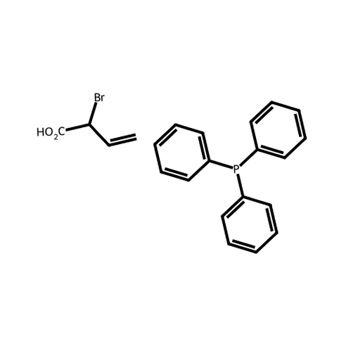 C=CC(Br)C(=O)O.c1ccc(P(c2ccccc2)c2ccccc2)cc1